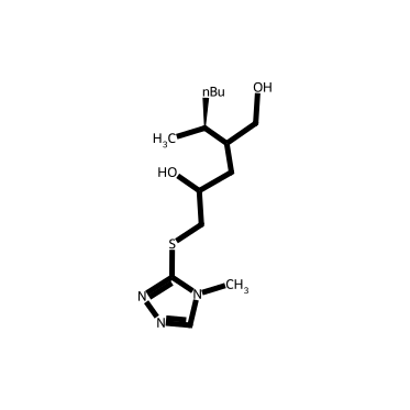 CCCC[C@H](C)C(CO)CC(O)CSc1nncn1C